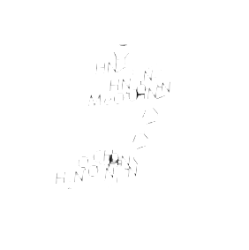 COC(=O)N[C@@H](Cc1c[nH]c2ccccc12)C(=O)N1CCC[C@H]1c1ncc(-c2ccc(-c3ccc(-c4cnc([C@@H]5CCCN5C(=O)[C@H](C)OC(N)=O)[nH]4)cc3)cc2)[nH]1